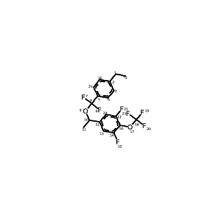 CCc1ccc(C(F)(F)OC(C)c2cc(F)c(OC(F)(F)F)c(F)c2)cc1